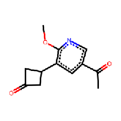 COc1ncc(C(C)=O)cc1C1CC(=O)C1